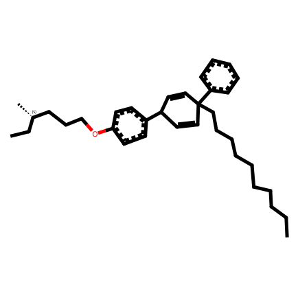 CCCCCCCCCCC1(c2ccccc2)C=CC(c2ccc(OCCC[C@@H](C)CC)cc2)C=C1